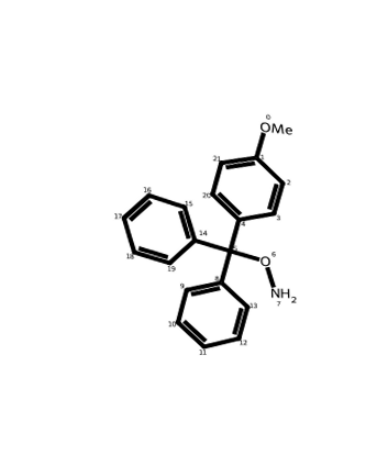 COc1ccc(C(ON)(c2ccccc2)c2ccccc2)cc1